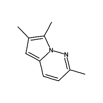 Cc1ccc2cc(C)c(C)n2n1